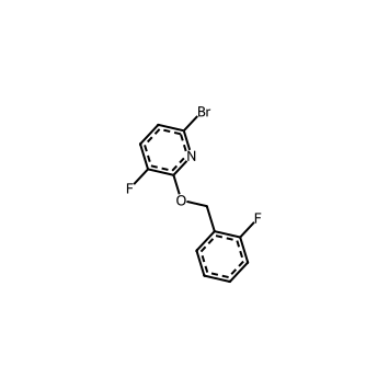 Fc1ccccc1COc1nc(Br)ccc1F